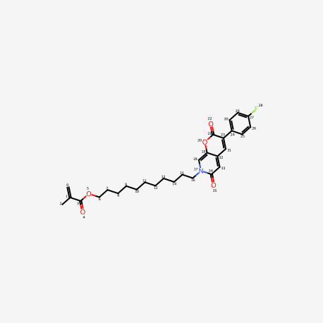 C=C(C)C(=O)OCCCCCCCCCCCn1cc2oc(=O)c(-c3ccc(F)cc3)cc2cc1=O